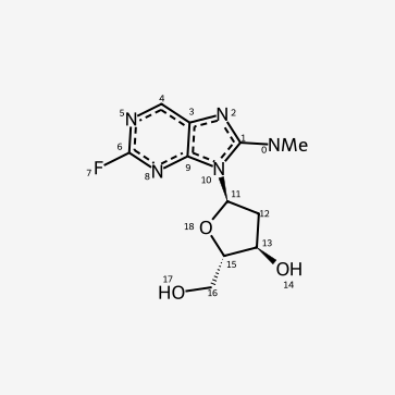 CNc1nc2cnc(F)nc2n1[C@H]1C[C@@H](O)[C@H](CO)O1